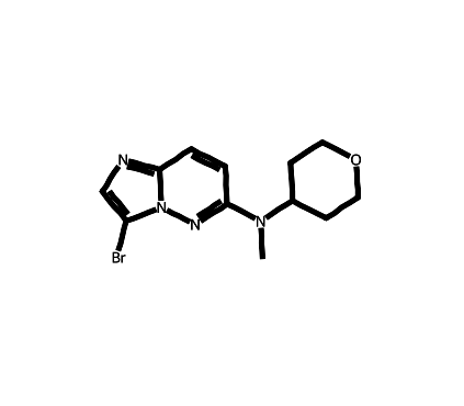 CN(c1ccc2ncc(Br)n2n1)C1CCOCC1